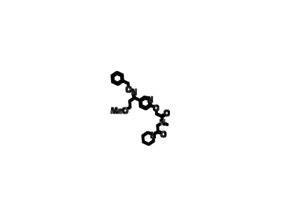 COCC/C(=N\OCc1ccccc1)c1ccc(OCC(=O)N(C)CC(=O)N2CCCCC2)nc1